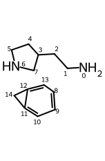 NCCC1CCNC1.c1ccc2c(c1)C2